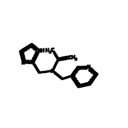 C=C(C)N(Cc1cccnc1)Cc1ncc[nH]1